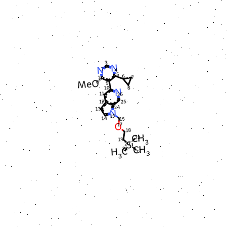 COc1ncnc(C2CC2)c1-c1cc2ccn(COCC[Si](C)(C)C)c2cn1